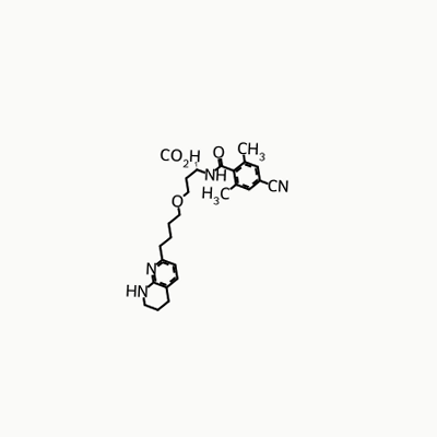 Cc1cc(C#N)cc(C)c1C(=O)N[C@H](CCOCCCCc1ccc2c(n1)NCCC2)C(=O)O